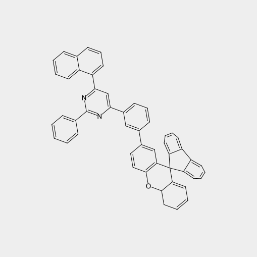 C1=CCC2Oc3ccc(-c4cccc(-c5cc(-c6cccc7ccccc67)nc(-c6ccccc6)n5)c4)cc3C3(C2=C1)c1ccccc1-c1ccccc13